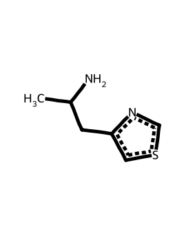 CC(N)Cc1cscn1